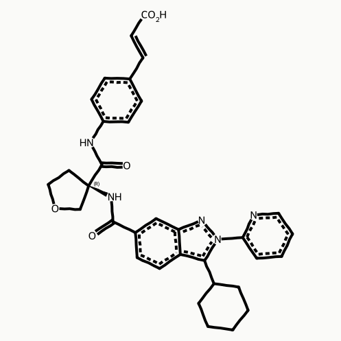 O=C(O)C=Cc1ccc(NC(=O)[C@@]2(NC(=O)c3ccc4c(C5CCCCC5)n(-c5ccccn5)nc4c3)CCOC2)cc1